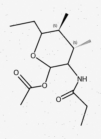 CCC(=O)NC1C(OC(C)=O)OC(CC)[C@@H](C)[C@@H]1C